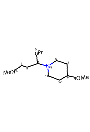 CCCC(CCNC)N1CCC(OC)CC1